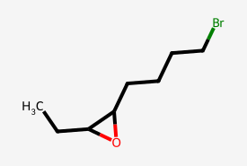 CCC1OC1CCCCBr